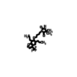 CCCc1cc2c(c(CCC)c1OCCCCN1C(=O)NC(C)(C)C1=O)OOC=C2C(F)(F)F